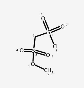 COS(=O)(=O)CS(=O)(=O)Cl